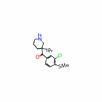 CCCC1(C(=O)c2ccc(SC)c(Cl)c2)CCCNC1